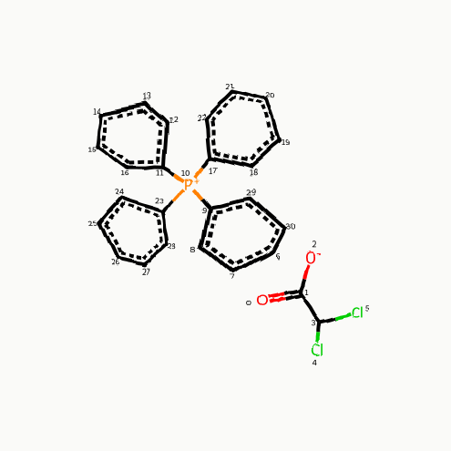 O=C([O-])C(Cl)Cl.c1ccc([P+](c2ccccc2)(c2ccccc2)c2ccccc2)cc1